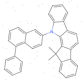 CC1(C)c2ccccc2-c2ccc3c4ccccc4n(-c4ccc5c(-c6ccccc6)cccc5c4)c3c21